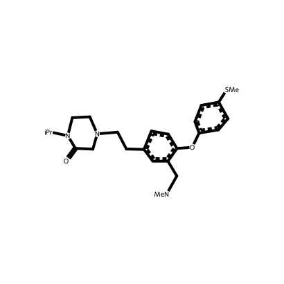 CNCc1cc(CCN2CCN(C(C)C)C(=O)C2)ccc1Oc1ccc(SC)cc1